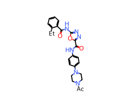 CCc1ccccc1C(=O)Nc1nnc(C(=O)Nc2ccc(N3CCN(C(C)=O)CC3)cc2)o1